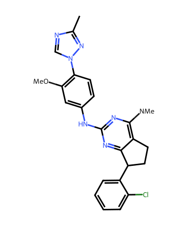 CNc1nc(Nc2ccc(-n3cnc(C)n3)c(OC)c2)nc2c1CCC2c1ccccc1Cl